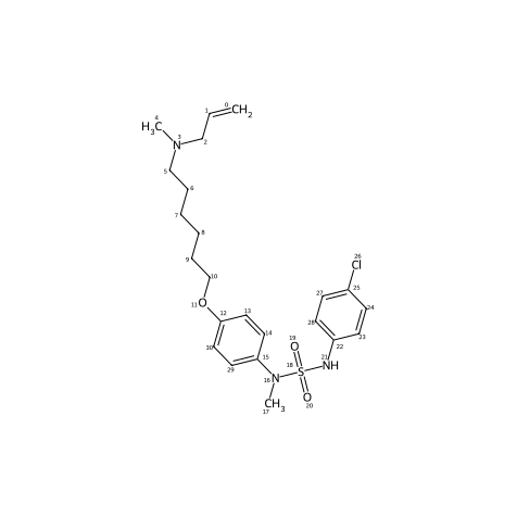 C=CCN(C)CCCCCCOc1ccc(N(C)S(=O)(=O)Nc2ccc(Cl)cc2)cc1